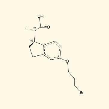 C[C@H](C(=O)O)[C@@H]1CCc2cc(OCCCBr)ccc21